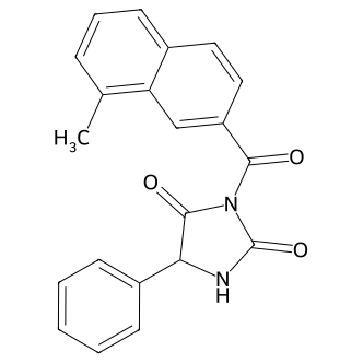 Cc1cccc2ccc(C(=O)N3C(=O)NC(c4ccccc4)C3=O)cc12